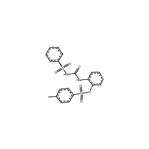 Cc1ccc(S(=O)(=O)Oc2ccccc2NC(=O)NS(=O)(=O)c2ccccc2)cc1